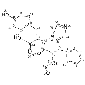 O=CN[C@@H](Cc1ccccc1)C(=O)N([C@@H](Cc1ccc(O)cc1)C(=O)O)N1C=CN=CC1